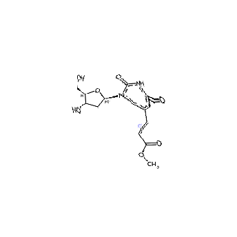 COC(=O)/C=C/c1cn([C@H]2CC(O)[C@@H](CO)O2)c(=O)[nH]c1=O